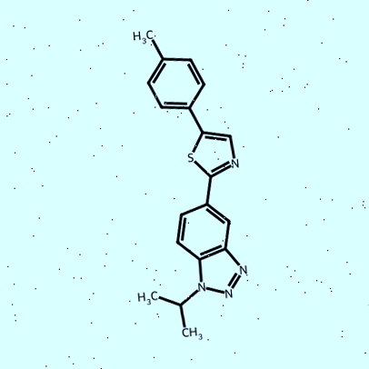 Cc1ccc(-c2cnc(-c3ccc4c(c3)nnn4C(C)C)s2)cc1